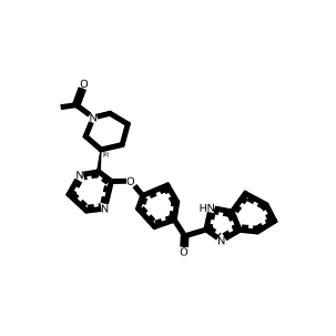 CC(=O)N1CCC[C@@H](c2nccnc2Oc2ccc(C(=O)c3nc4ccccc4[nH]3)cc2)C1